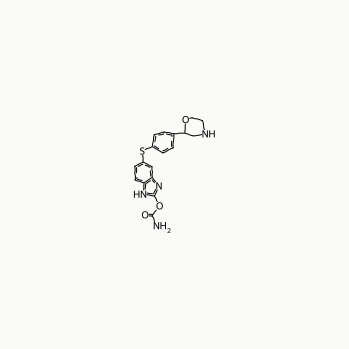 NC(=O)Oc1nc2cc(Sc3ccc(C4CNCCO4)cc3)ccc2[nH]1